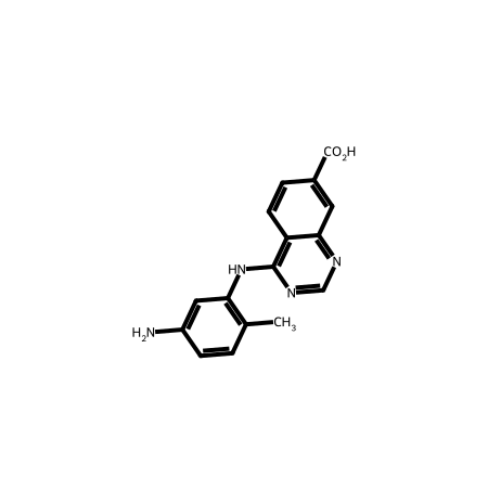 Cc1ccc(N)cc1Nc1ncnc2cc(C(=O)O)ccc12